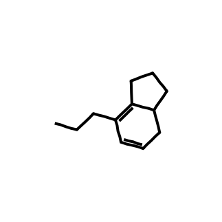 CCCC1=C2CCCC2CC=C1